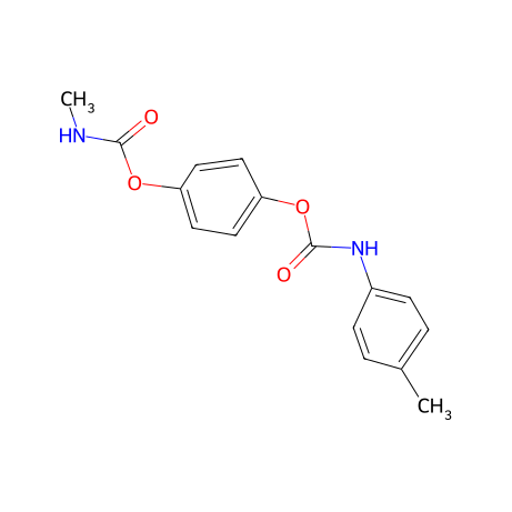 CNC(=O)Oc1ccc(OC(=O)Nc2ccc(C)cc2)cc1